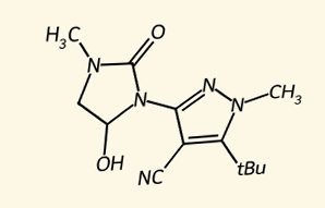 CN1CC(O)N(c2nn(C)c(C(C)(C)C)c2C#N)C1=O